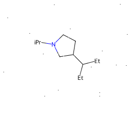 CCC(CC)C1CCN(C(C)C)C1